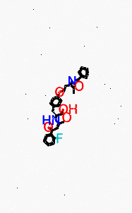 C/C(=C/C(=O)c1ccccc1F)N[C@@H](Cc1ccc(OCCc2nc(-c3ccccc3)oc2C)cc1)C(=O)O